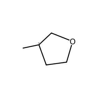 C[C]1CCOC1